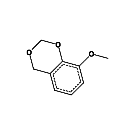 COc1cccc2c1OCOC2